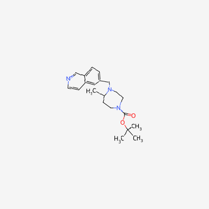 CC1CCN(C(=O)OC(C)(C)C)CCN1Cc1ccc2cnccc2c1